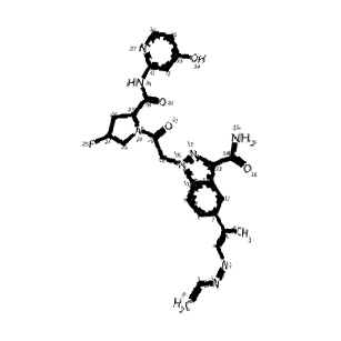 C=C/N=N\C=C(/C)c1ccc2c(c1)c(C(N)=O)nn2CC(=O)N1CC(F)CC1C(=O)Nc1cc(O)ccn1